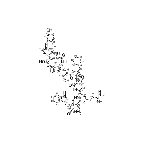 CNC(=N)NCCC[C@H](NC(=O)[C@H](CC1CC1)NC(=O)CNC(=O)[C@H](CC1CCCCC1)NC(=O)[C@@H](NC(=O)[C@H](CC(N)=O)NC(=O)[C@H](CCC(=O)O)NC(=O)[C@@H](Cc1ccc(O)cc1)NC(C)=O)[C@@H](C)O)C(=O)N[C@@H](Cc1c[nH]c2c1CCC=C2)C(N)=O